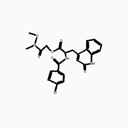 CON(C)C(=O)COC(=O)C(Cc1cc(=O)[nH]c2ccccc12)NC(=O)c1ccc(Cl)cc1